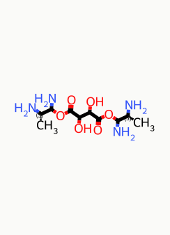 C[C@H](N)C(N)OC(=O)C(O)C(O)C(=O)OC(N)[C@H](C)N